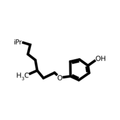 CC(C)CCCC(C)CCOc1ccc(O)cc1